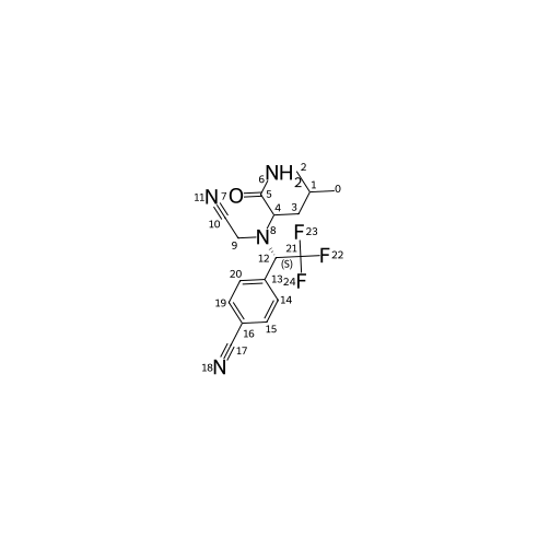 CC(C)CC(C(N)=O)N(CC#N)[C@@H](c1ccc(C#N)cc1)C(F)(F)F